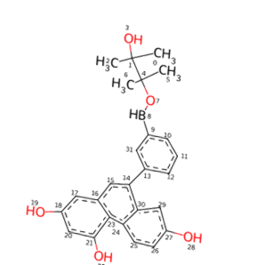 CC(C)(O)C(C)(C)OBc1cccc(-c2cc3cc(O)cc(O)c3c3ccc(O)cc23)c1